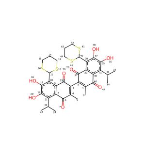 CC1=C(C2=C(C)C(=O)c3c(c(C4SCCCS4)c(O)c(O)c3C(C)C)C2=O)C(=O)c2c(c(C(C)C)c(O)c(O)c2C2SCCCS2)C1=O